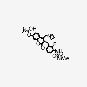 CNS(=O)(=O)Nc1cccc(Cc2c(CN3CCC3)c3ccc(OC(O)N(C)C)cc3oc2=O)c1F